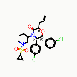 C=CC[C@H]1O[C@H](c2cccc(Cl)c2)[C@@H](c2ccc(Cl)cc2)N(C(CC)CN(C)S(=O)(=O)C2CC2)C1=O